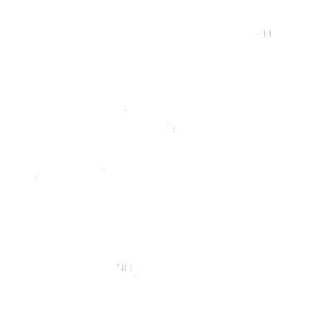 CCCCCOC(=O)CSc1cc(N)c(F)cc1Cl